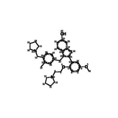 COc1ccc(OCCN2CCCC2)c(-c2sc3cc(O)ccc3c2Cc2ccc(CN3CCCC3)c(C)c2)c1